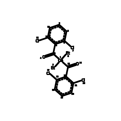 C[CH2][Ge]([CH2]C)([C](=O)c1c(Cl)cccc1Cl)[C](=O)c1c(Cl)cccc1Cl